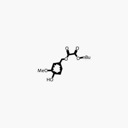 CCCCOC(=O)C(=O)OCc1ccc(O)c(OC)c1